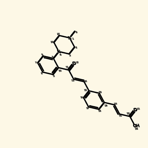 CN1CCN(c2ccccc2C(=O)C=Cc2cccc(C=CC(=O)O)c2)CC1